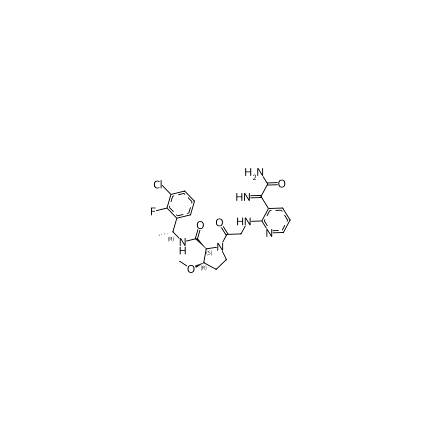 CO[C@@H]1CCN(C(=O)CNc2ncccc2C(=N)C(N)=O)[C@@H]1C(=O)N[C@H](C)c1cccc(Cl)c1F